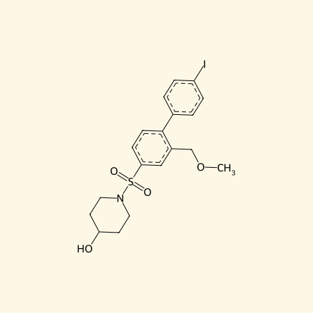 COCc1cc(S(=O)(=O)N2CCC(O)CC2)ccc1-c1ccc(I)cc1